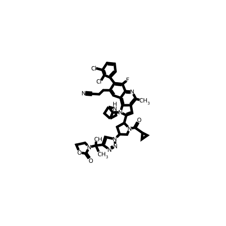 Cc1nc2c(F)c(-c3cccc(Cl)c3Cl)c(CCC#N)cc2c2c1cc(C1CC(n3cc(C(C)(C)N4CCOC4=O)nn3)CN1C(=O)C1CC1)n2C1C2CNC1C2